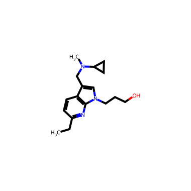 CCc1ccc2c(CN(C)C3CC3)cn(CCCO)c2n1